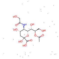 CC(=O)O[C@H](CO)[C@@H](O)[C@@H]1OC(O)(C(=O)O)C[C@H](O)[C@H]1NC(=O)CO